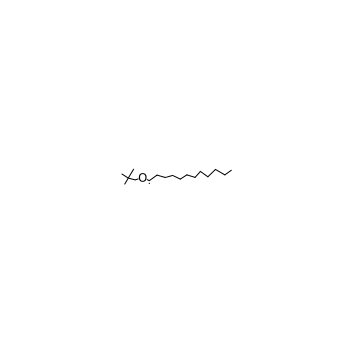 CCCCCCCCCCC[CH]OCC(C)(C)C